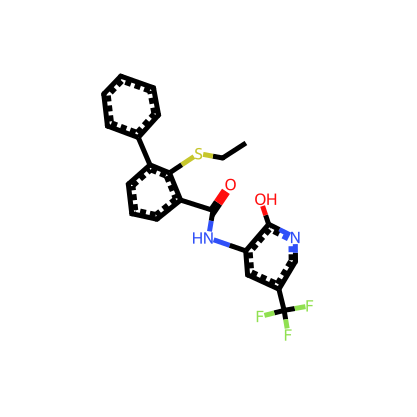 CCSc1c(C(=O)Nc2cc(C(F)(F)F)cnc2O)cccc1-c1ccccc1